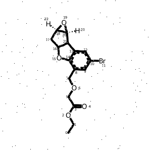 CCOC(=O)COCc1cc(Br)cc2c1OC1C[C@H]3O[C@H]3C21